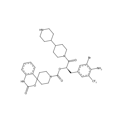 Nc1c(Br)cc(C[C@@H](OC(=O)N2CCC3(CC2)OC(=O)Nc2ccccc23)C(=O)N2CCC(C3CCNCC3)CC2)cc1C(F)(F)F